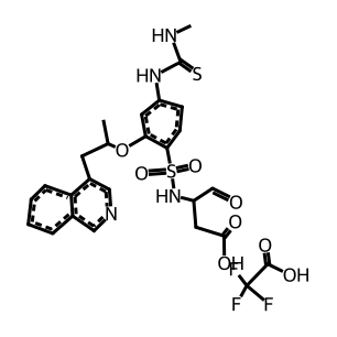 CNC(=S)Nc1ccc(S(=O)(=O)NC(C=O)CC(=O)O)c(OC(C)Cc2cncc3ccccc23)c1.O=C(O)C(F)(F)F